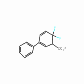 O=C(O)C1C=C(c2ccccc2)C=CC1(F)F